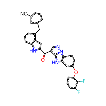 N#Cc1cccc(Cc2cccc3[nH]c(C(=O)c4cnn5c4[nH]c4cc(Oc6cccc(F)c6F)ccc45)cc23)c1